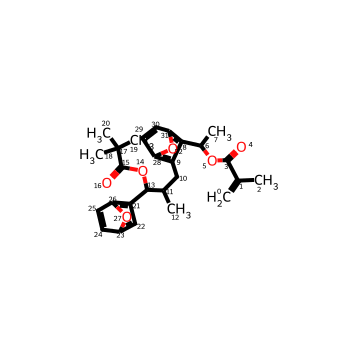 C=C(C)C(=O)OC(C)c1c(CC(C)C(OC(=O)C(C)(C)C)c2cc3ccc2o3)c2ccc1o2